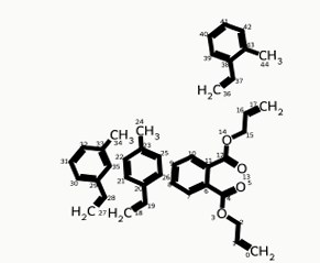 C=CCOC(=O)c1ccccc1C(=O)OCC=C.C=Cc1ccc(C)cc1.C=Cc1cccc(C)c1.C=Cc1ccccc1C